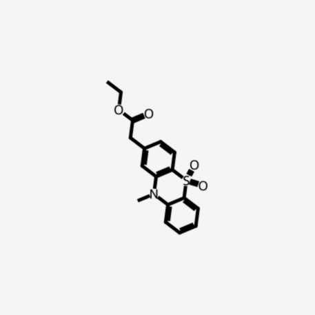 CCOC(=O)Cc1ccc2c(c1)N(C)c1ccccc1S2(=O)=O